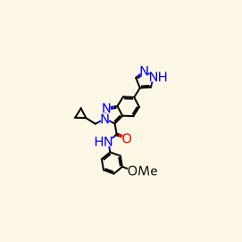 COc1cccc(NC(=O)c2c3ccc(-c4cn[nH]c4)cc3nn2CC2CC2)c1